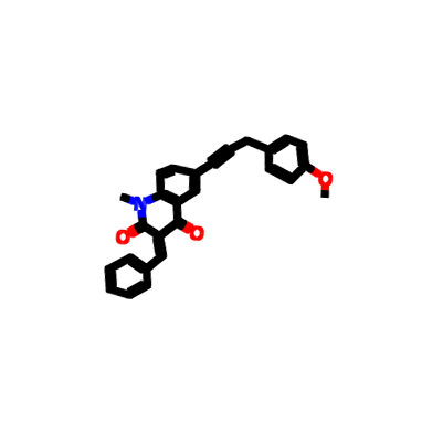 COc1ccc(CC#Cc2ccc3c(c2)C(=O)/C(=C/c2ccccc2)C(=O)N3C)cc1